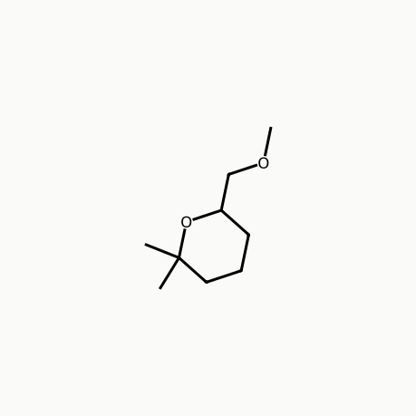 COCC1CCCC(C)(C)O1